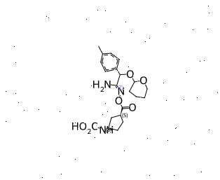 Cc1ccc(C(OC2CCCCO2)/C(N)=N/OC(=O)[C@H]2CC[C@H](NC(=O)O)C2)cc1